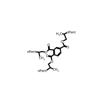 CCCCCC(C)COC(=O)c1ccc(C(=O)OCC(C)CCCCC)c(C(=O)OCC(C)CCCCC)c1